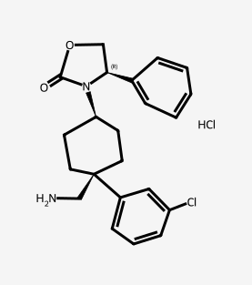 Cl.NC[C@]1(c2cccc(Cl)c2)CC[C@H](N2C(=O)OC[C@H]2c2ccccc2)CC1